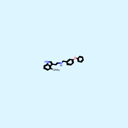 COc1cccc2[nH]cc(CCNCc3cccc(Oc4ccccc4)c3)c12